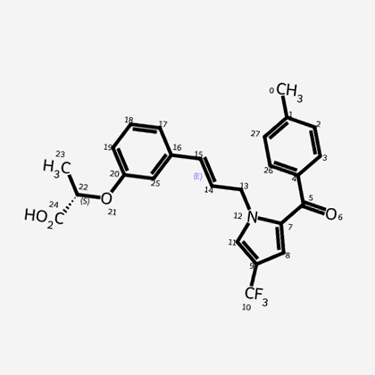 Cc1ccc(C(=O)c2cc(C(F)(F)F)cn2C/C=C/c2cccc(O[C@@H](C)C(=O)O)c2)cc1